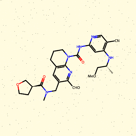 COC[C@@H](C)Nc1cc(NC(=O)N2CCCc3cc(CN(C)C(=O)[C@H]4CCOC4)c(C=O)nc32)ncc1C#N